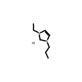 CCCN1C=CN(CC)C1.I